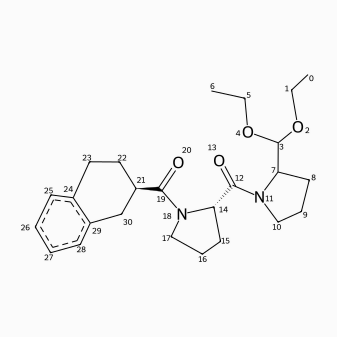 CCOC(OCC)C1CCCN1C(=O)[C@@H]1CCCN1C(=O)[C@@H]1CCc2ccccc2C1